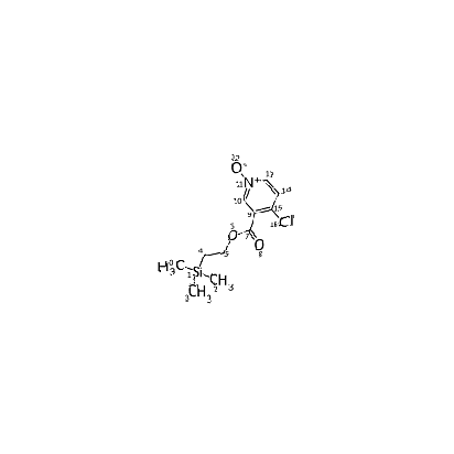 C[Si](C)(C)CCOC(=O)c1c[n+]([O-])ccc1Cl